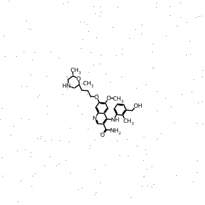 COc1cc2c(Nc3cccc(CO)c3C)c(C(N)=O)cnc2cc1OCCC[C@@]1(C)CNC[C@@H](C)O1